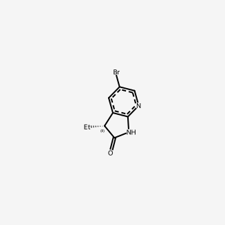 CC[C@H]1C(=O)Nc2ncc(Br)cc21